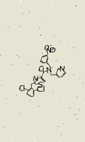 O=C(c1csc(Cc2c(Cl)cccc2Cl)n1)N(Cc1cccnc1)Cc1cccc([N+](=O)[O-])c1